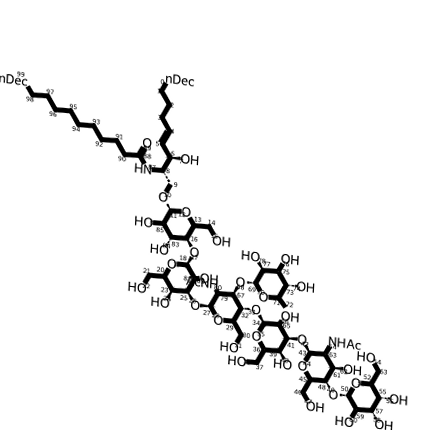 CCCCCCCCCCCCC/C=C/[C@@H](O)[C@H](CO[C@@H]1OC(CO)[C@@H](O[C@@H]2OC(CO)[C@H](O)[C@H](O[C@@H]3OC(CO)[C@@H](O[C@@H]4OC(CO)[C@H](O)[C@H](O[C@@H]5OC(CO)[C@@H](O[C@@H]6OC(CO)[C@H](O)[C@H](O)C6O)[C@H](O)C5NC(C)=O)C4O)[C@H](O[C@H]4OC(C)[C@@H](O)C(O)[C@@H]4O)C3NC(C)=O)C2O)[C@H](O)C1O)NC(=O)CCCCCCCCCCCCCCCCCCC